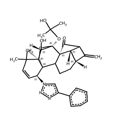 C=C1C2C(=O)[C@@]34C(CC[C@@H]1[C@@H]23)[C@@]12CO[C@]4(OC(C)(C)O)[C@@H](O)[C@@H]1C(C)(C)C=C[C@@H]2n1cc(-c2ccccc2)nn1